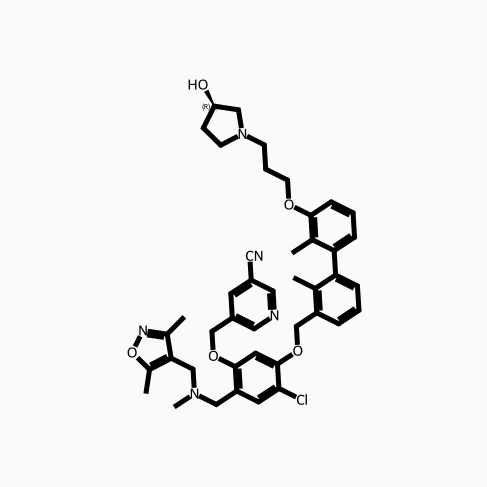 Cc1noc(C)c1CN(C)Cc1cc(Cl)c(OCc2cccc(-c3cccc(OCCCN4CC[C@@H](O)C4)c3C)c2C)cc1OCc1cncc(C#N)c1